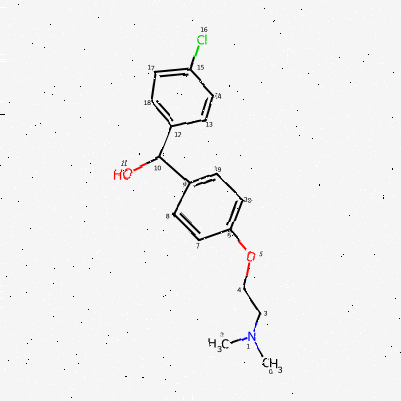 CN(C)CCOc1ccc(C(O)c2ccc(Cl)cc2)cc1